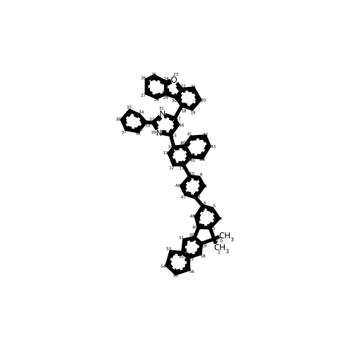 CC1(C)c2ccc(-c3ccc(-c4ccc(-c5cc(-c6cccc7oc8ccccc8c67)nc(-c6ccccc6)n5)c5ccccc45)cc3)cc2-c2cc3ccccc3cc21